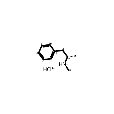 CN[C@@H](C)Cc1ccccc1.Cl